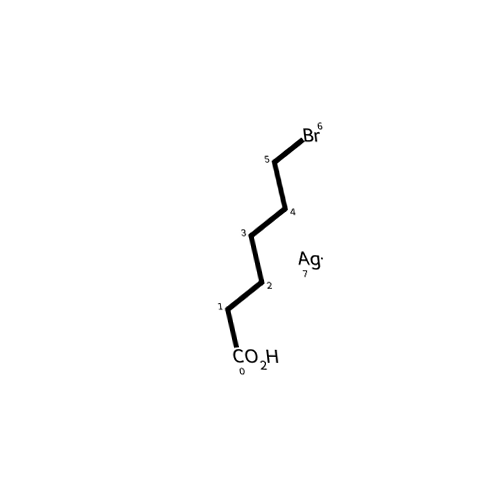 O=C(O)CCCCCBr.[Ag]